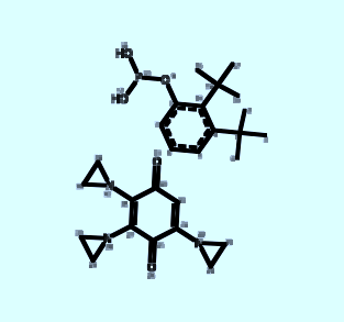 CC(C)(C)c1cccc(OP(O)O)c1C(C)(C)C.O=C1C=C(N2CC2)C(=O)C(N2CC2)=C1N1CC1